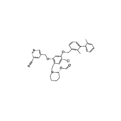 Cc1ccccc1-c1cccc(COc2cc(OCc3cncc(C#N)c3)c(CN3CCCC[C@H]3OC=O)cc2Cl)c1C